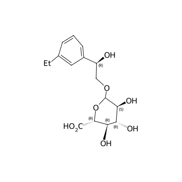 CCc1cccc([C@@H](O)COC2O[C@@H](C(=O)O)[C@H](O)[C@@H](O)[C@@H]2O)c1